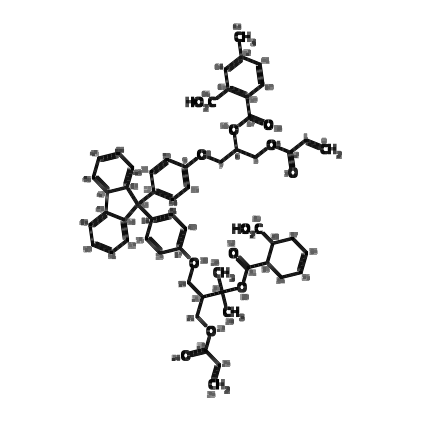 C=CC(=O)OCC(COc1ccc(C2(c3ccc(OCC(COC(=O)C=C)C(C)(C)OC(=O)C4CC=CCC4C(=O)O)cc3)c3ccccc3-c3ccccc32)cc1)OC(=O)c1ccc(C)cc1C(=O)O